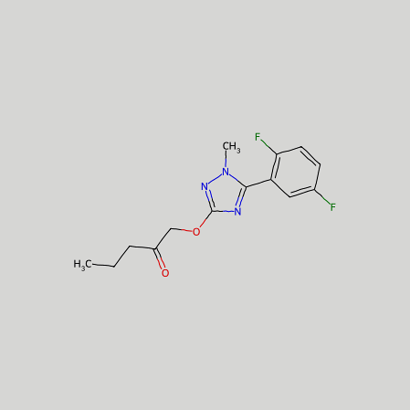 CCCC(=O)COc1nc(-c2cc(F)ccc2F)n(C)n1